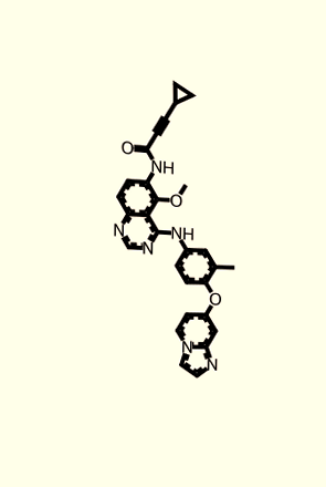 COc1c(NC(=O)C#CC2CC2)ccc2ncnc(Nc3ccc(Oc4ccn5ccnc5c4)c(C)c3)c12